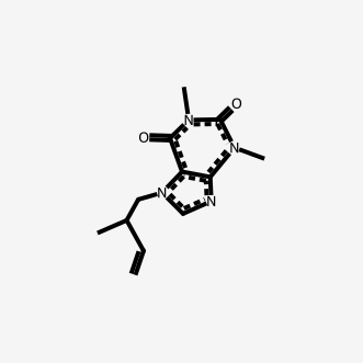 C=CC(C)Cn1cnc2c1c(=O)n(C)c(=O)n2C